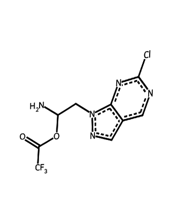 NC(Cn1ncc2cnc(Cl)nc21)OC(=O)C(F)(F)F